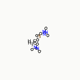 CC1(C)c2cc(-c3nc(-c4ccccc4)cc(-c4ccccc4)n3)ccc2-c2ccc(-c3cccc4c3sc3cc(-c5nc(-c6ccccc6)nc(-c6ccccc6)n5)ccc34)cc21